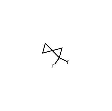 FC1(F)CC12CC2